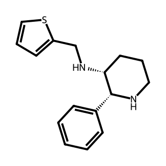 c1ccc([C@H]2NCCC[C@H]2NCc2cccs2)cc1